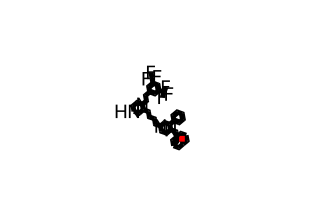 FC(F)(F)c1cc(CCN2CCNCC2CCCCN2CCN(CC34CC5CC(CC(C5)C3)C4)C(c3ccccc3)C2)cc(C(F)(F)F)c1